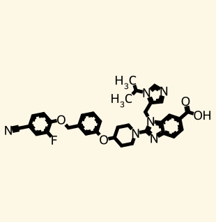 CC(C)n1cncc1Cn1c(N2CCC(Oc3cccc(COc4ccc(C#N)cc4F)c3)CC2)nc2ccc(C(=O)O)cc21